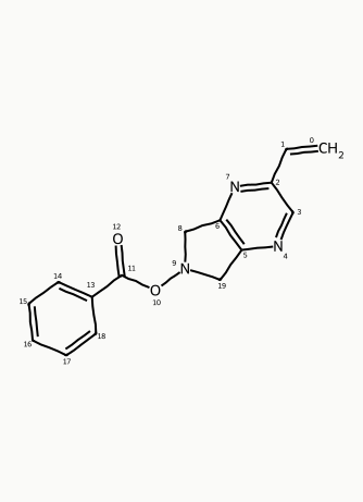 C=Cc1cnc2c(n1)CN(OC(=O)c1ccccc1)C2